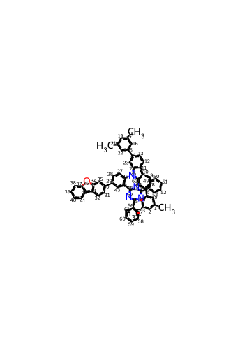 Cc1cc(C)cc(-c2ccc3c4ccc(-c5cc(C)cc(C)c5)cc4n(-c4ccc(-c5ccc6c(c5)oc5ccccc56)cc4-c4nc(-c5ccccc5)nc(-c5ccccc5)n4)c3c2)c1